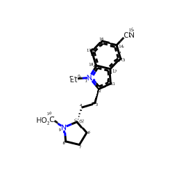 CCn1c(CC[C@@H]2CCCN2C(=O)O)cc2cc(C#N)ccc21